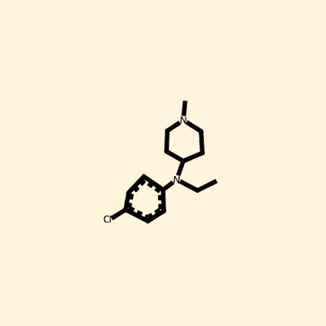 CCN(c1ccc(Cl)cc1)C1CCN(C)CC1